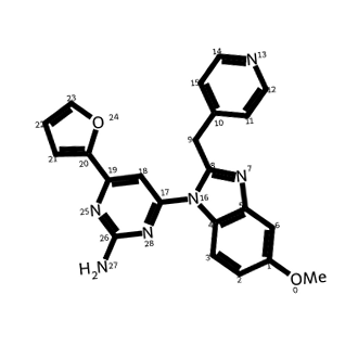 COc1ccc2c(c1)nc(Cc1ccncc1)n2-c1cc(-c2ccco2)nc(N)n1